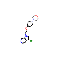 Brc1cn(CCOc2ccc(N3CCOCC3)cc2)c2cnccc12